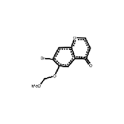 COCOc1cc2c(=O)ccoc2cc1Br